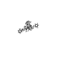 C[C@@H](OC(=O)OCc1ccccc1)[C@H]1C(=O)N(CC(=O)OC(C)(C)C)[C@@H]1[C@@H](C)C(=O)OCc1ccccc1